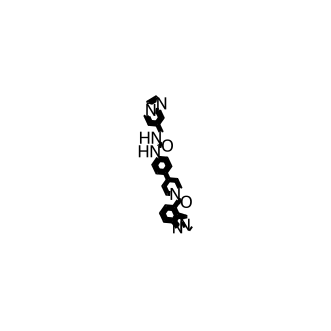 Cn1cc2c(C(=O)N3CCC(c4ccc(NC(=O)NCc5ccn6ccnc6c5)cc4)CC3)cccc2n1